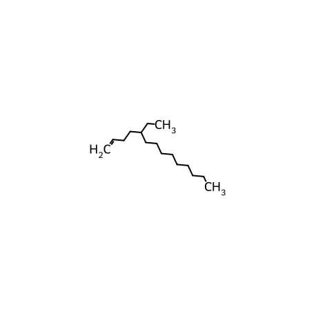 C=CCCC(CC)CCCCCCCCC